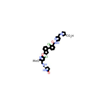 COc1nc(O[C@H]2CCc3c(-c4cccc(C(=O)Nc5ccc(CN6CC[C@H](C(=O)O)C6)cn5)c4Cl)cccc32)c(Cl)cc1CNC[C@@H]1CCC(=O)N1